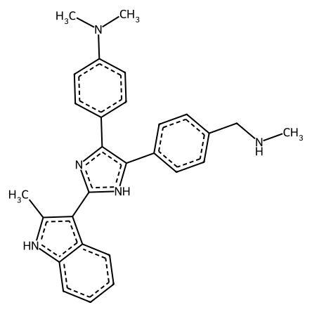 CNCc1ccc(-c2[nH]c(-c3c(C)[nH]c4ccccc34)nc2-c2ccc(N(C)C)cc2)cc1